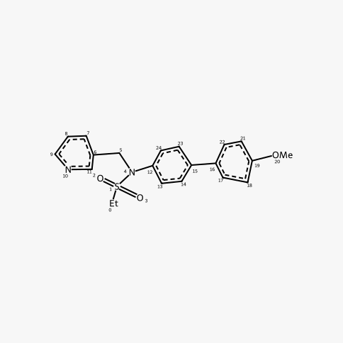 CCS(=O)(=O)N(Cc1cccnc1)c1ccc(-c2ccc(OC)cc2)cc1